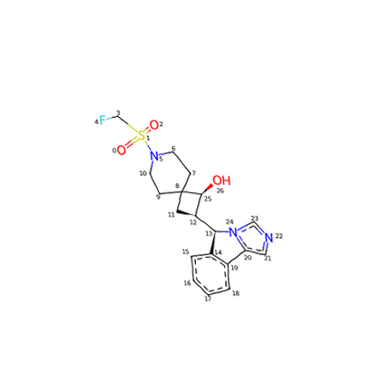 O=S(=O)(CF)N1CCC2(CC1)C[C@H]([C@@H]1c3ccccc3-c3cncn31)[C@@H]2O